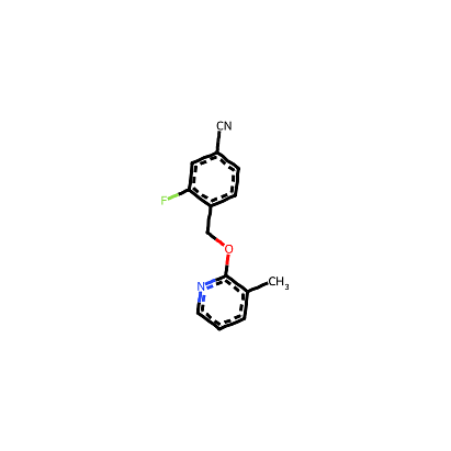 Cc1cccnc1OCc1ccc(C#N)cc1F